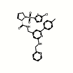 Cc1ccc(-c2cc(CNC(=O)[C@@H]3C=CCN3S(=O)(=O)c3ccc(Cl)s3)cc(NCc3ccccn3)n2)cc1